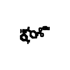 CC(Nc1cccc(F)c1)C1CCCN(C(=O)OC(C)(C)C)C1